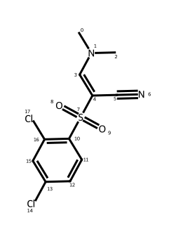 CN(C)/C=C(\C#N)S(=O)(=O)c1ccc(Cl)cc1Cl